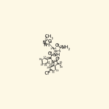 Cc1nnc(C#C[C@H](CC(N)=O)NC(=O)[C@@H]2c3ccccc3CN2C(=O)C2(c3ccc(Cl)cc3)CC2)o1